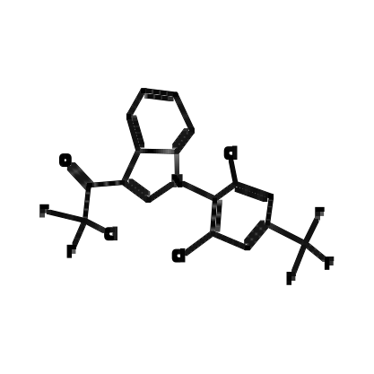 O=C(c1cn(-c2c(Cl)cc(C(F)(F)F)cc2Cl)c2ccccc12)C(F)(F)Cl